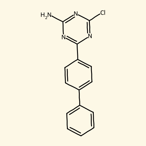 Nc1nc(Cl)nc(-c2ccc(-c3ccccc3)cc2)n1